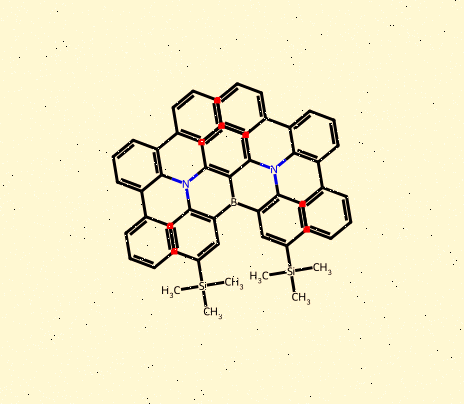 C[Si](C)(C)c1ccc2c(c1)B1c3cc([Si](C)(C)C)ccc3N(c3c(-c4ccccc4)cccc3-c3ccccc3)c3cccc(c31)N2c1c(-c2ccccc2)cccc1-c1ccccc1